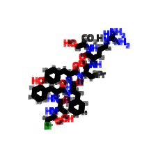 CC(C)CC(NC(=O)C(Cc1ccc(O)cc1)NC(=O)C(Cc1ccccc1)NC(=O)C(Cc1ccccc1)NC(=O)C(CO)NC(=O)CBr)C(=O)NC(CCCNC(N)N)C(=O)NC(CO)C(=O)O